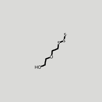 OCCOCCSS[S]